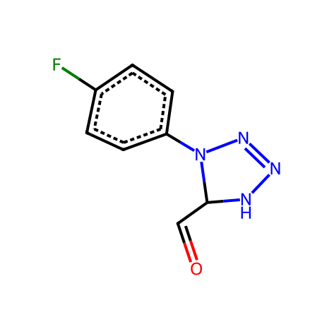 O=CC1NN=NN1c1ccc(F)cc1